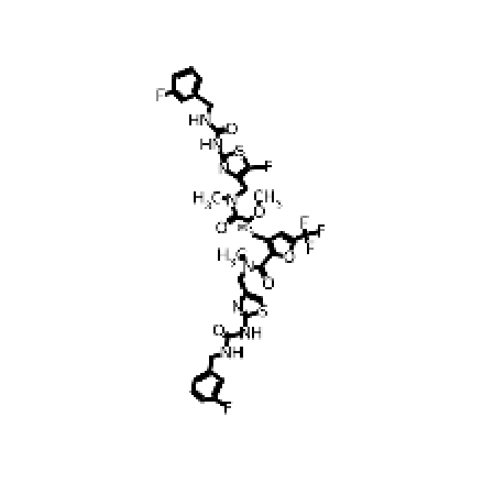 CO[C@H](Cc1cc(C(F)(F)F)oc1C(=O)N(C)Cc1csc(NC(=O)NCc2cccc(F)c2)n1)C(=O)N(C)Cc1nc(NC(=O)NCc2cccc(F)c2)sc1F